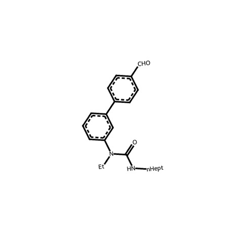 CCCCCCCNC(=O)N(CC)c1cccc(-c2ccc(C=O)cc2)c1